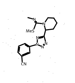 C/N=C(\SC)N1CCCCC1c1nnn(-c2cccc(C#N)c2)n1